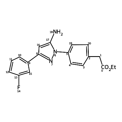 CCOC(=O)Cc1ccc(-n2nc(-c3cccc(F)c3)cc2N)cc1